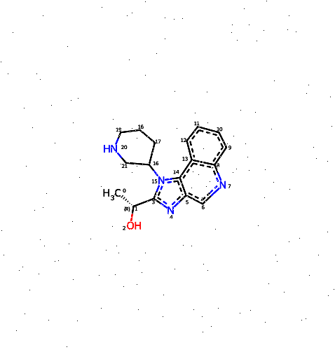 C[C@@H](O)c1nc2cnc3ccccc3c2n1C1CCCNC1